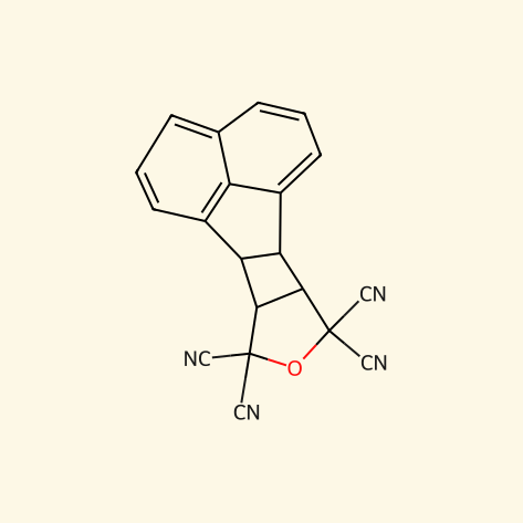 N#CC1(C#N)OC(C#N)(C#N)C2C3c4cccc5cccc(c45)C3C21